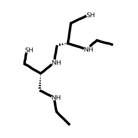 CCNC[C@H](CS)NC[C@H](CS)NCC